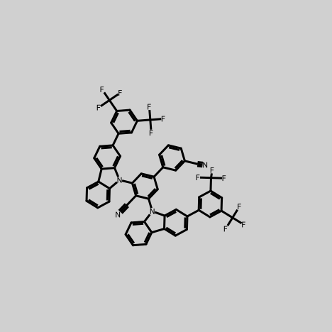 N#Cc1cccc(-c2cc(-n3c4ccccc4c4ccc(-c5cc(C(F)(F)F)cc(C(F)(F)F)c5)cc43)c(C#N)c(-n3c4ccccc4c4ccc(-c5cc(C(F)(F)F)cc(C(F)(F)F)c5)cc43)c2)c1